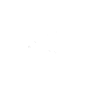 O=C(O)C(c1cc[nH]n1)c1cc[nH]n1